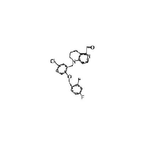 O=Cc1nccc2c1CCCN2Cc1cc(Cl)ccc1OCc1ccc(F)cc1F